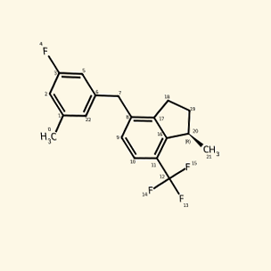 Cc1cc(F)cc(Cc2ccc(C(F)(F)F)c3c2CC[C@H]3C)c1